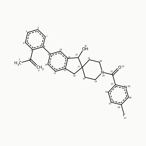 C=C(C)c1ccccc1-c1ccc2c(c1)C(O)C1(CCN(C(=O)c3ccc(F)cn3)CC1)C2